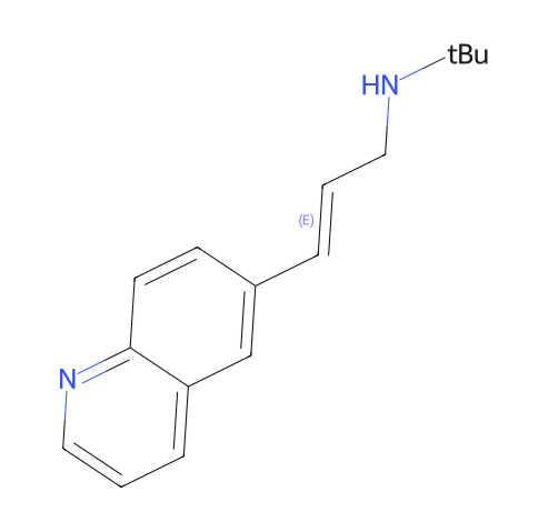 CC(C)(C)NC/C=C/c1ccc2ncccc2c1